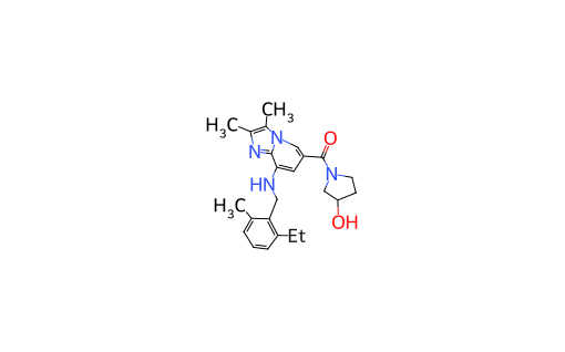 CCc1cccc(C)c1CNc1cc(C(=O)N2CCC(O)C2)cn2c(C)c(C)nc12